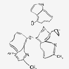 Cc1ccc2cccc([O-])c2n1.Cc1ccc2cccc([O-])c2n1.[Al+3].[O-]c1cccc2ncccc12